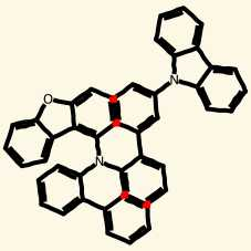 c1ccc(-c2ccccc2N(c2ccccc2-c2cccc(-n3c4ccccc4c4ccccc43)c2)c2cccc3oc4ccccc4c23)cc1